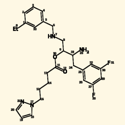 CCc1cccc(CNCC(OC(=O)CCCCn2cccn2)C(N)Cc2cc(F)cc(F)c2)c1